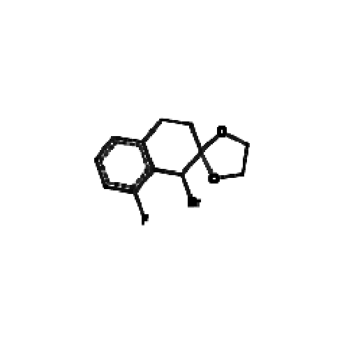 Fc1cccc2c1C(Br)C1(CC2)OCCO1